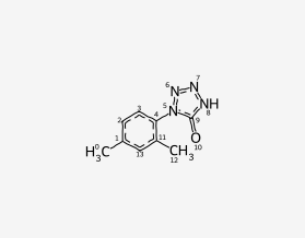 Cc1ccc(-n2nn[nH]c2=O)c(C)c1